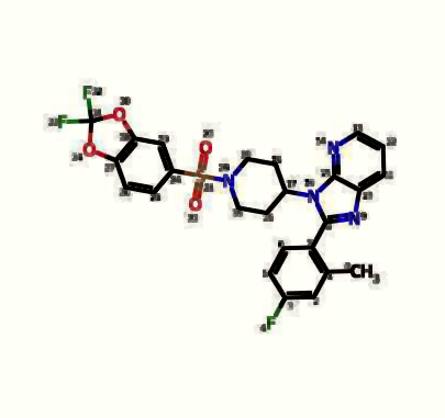 Cc1cc(F)ccc1-c1nc2cccnc2n1C1CCN(S(=O)(=O)c2ccc3c(c2)OC(F)(F)O3)CC1